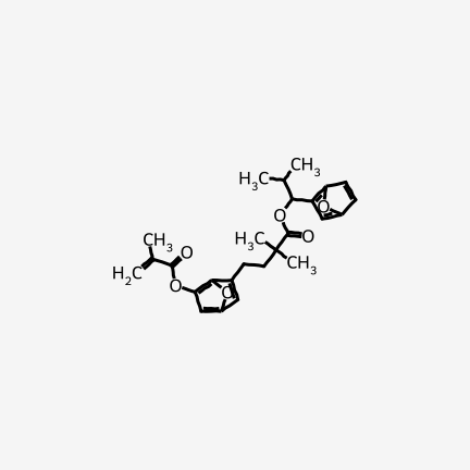 C=C(C)C(=O)Oc1cc2cc(CCC(C)(C)C(=O)OC(c3cc4ccc3o4)C(C)C)c1o2